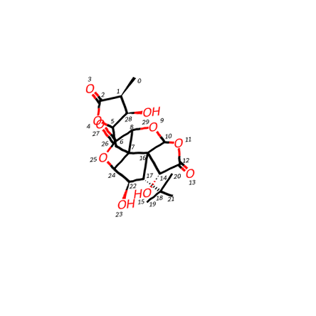 C[C@@H]1C(=O)OC(CC23C4OC5OC(=O)[C@H](O)C52[C@H](C(C)(C)C)[C@@H](O)C3OC4=O)[C@@H]1O